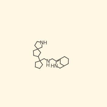 C1CC2=C(CNCC3(C4CCC5(CCNC5)C4)CCCC3)NCC(C1)C2